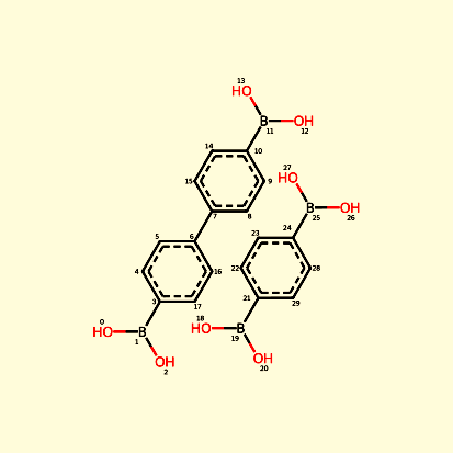 OB(O)c1ccc(-c2ccc(B(O)O)cc2)cc1.OB(O)c1ccc(B(O)O)cc1